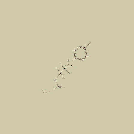 COC(=O)CC(C)(C)C(C)(C)S(=O)(=O)c1ccc(C)cc1